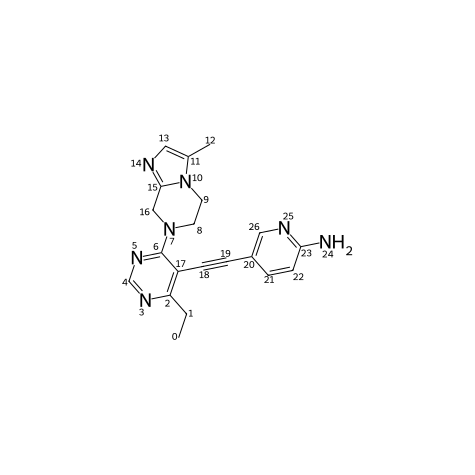 CCc1ncnc(N2CCn3c(C)cnc3C2)c1C#Cc1ccc(N)nc1